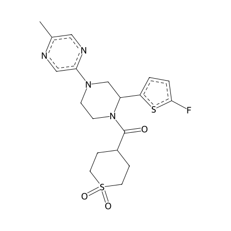 Cc1cnc(N2CCN(C(=O)C3CCS(=O)(=O)CC3)C(c3ccc(F)s3)C2)cn1